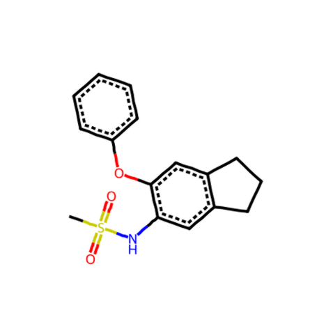 CS(=O)(=O)Nc1cc2c(cc1Oc1ccccc1)CCC2